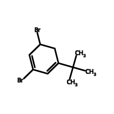 CC(C)(C)C1=CC(Br)=CC(Br)C1